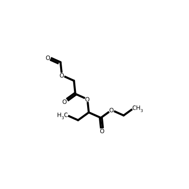 CCOC(=O)C(CC)OC(=O)COC=O